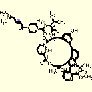 CCn1c(-c2cccnc2[C@H](C)OC)c2c3cc(ccc31)-c1cc(O)cc(c1)C[C@H](NC(=O)[C@H](C(C)C)N(C)C(=O)N1CCN(C(=O)/C=C/CN(C)C)CC1)C(=O)N1CCC[C@H](N1)C(=O)OCC(C)(C)C2